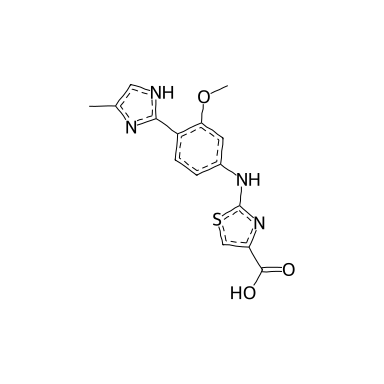 COc1cc(Nc2nc(C(=O)O)cs2)ccc1-c1nc(C)c[nH]1